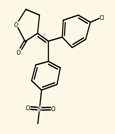 CS(=O)(=O)c1ccc(/C(=C2/CCOC2=O)c2ccc(Cl)cc2)cc1